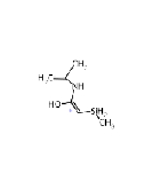 C=C(C)N/C(O)=C\[SiH2]C